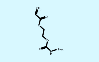 C=CC(=O)OCCOC(=O)NCCCCCC